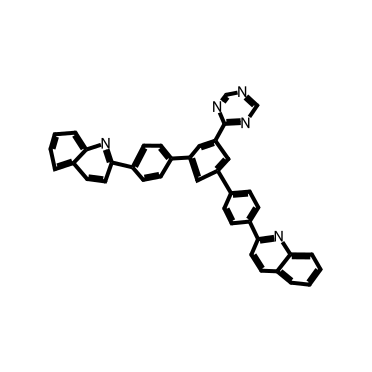 c1ccc2nc(-c3ccc(-c4cc(-c5ccc(-c6ccc7ccccc7n6)cc5)cc(-c5ncncn5)c4)cc3)ccc2c1